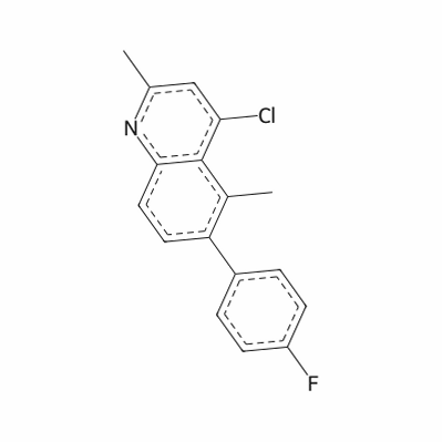 Cc1cc(Cl)c2c(C)c(-c3ccc(F)cc3)ccc2n1